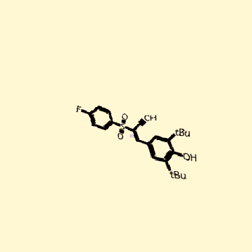 C#C/C(=C\c1cc(C(C)(C)C)c(O)c(C(C)(C)C)c1)S(=O)(=O)c1ccc(F)cc1